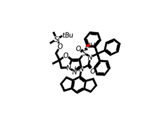 CC1(CO[Si](C)(C)C(C)(C)C)Cn2ncc(S(=N)(=O)N(C(=O)Nc3c4c(cc5c3CCC5)CCC4)C(c3ccccc3)(c3ccccc3)c3ccccc3)c2O1